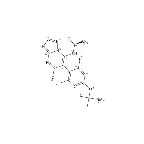 CNC(C)(C)Oc1cc(F)c(-c2c(Cl)nc3ncnn3c2N[C@@H](C)C(F)(F)F)c(F)c1